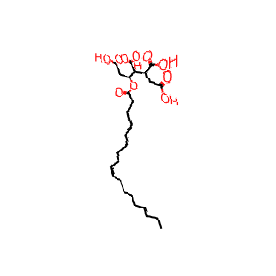 CCCCCCCC/C=C\CCCCCCCC(=O)OC(CC(=O)O)C(C(=O)O)C(CC(=O)O)C(=O)O